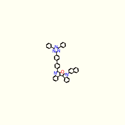 c1ccc(-c2nc(-c3ccccc3)nc(-c3ccc(-c4ccc(-c5nc6ccccc6c6c5oc5c6c6ccccc6n5-c5ccc6ccccc6c5)cc4)cc3)n2)cc1